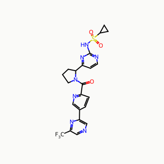 O=C(c1ccc(-c2cncc(C(F)(F)F)n2)cn1)N1CCCC1c1ccnc(NS(=O)(=O)C2CC2)n1